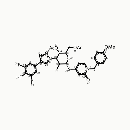 COc1ccc(Cn2ccc(S[C@H]3OC(COC(C)=O)[C@H](OC(C)=O)[C@H](n4cc(-c5cc(F)c(F)c(F)c5)nn4)C3C)cc2=O)cc1